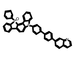 O=P1(c2ccccc2)c2ccccc2-c2ccc3c(c21)c1ccccc1n3-c1ccc(-c2ccc(-c3ccc4cccnc4c3)cc2)cc1